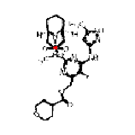 CCS(=O)(=O)N1[C@@H]2CCC[C@H]1C[C@H](N(C)c1nc(COC(=O)C3CCOCC3)c(F)c(Nc3cc(C)[nH]n3)n1)C2